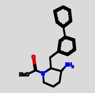 CC(C)COC(=O)N1CCCC(N)C1Cc1cccc(-c2ccccc2)c1